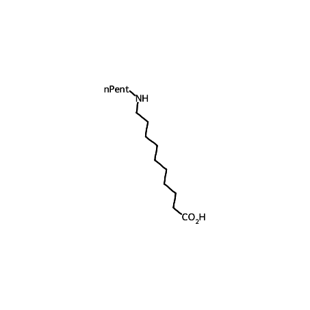 CCCCCNCCCCCCCCCC(=O)O